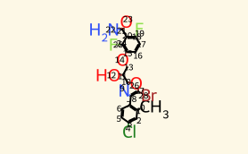 Cc1cc(Cl)ccc1-c1nc(C(O)COc2ccc(F)c(C(N)=O)c2F)oc1Br